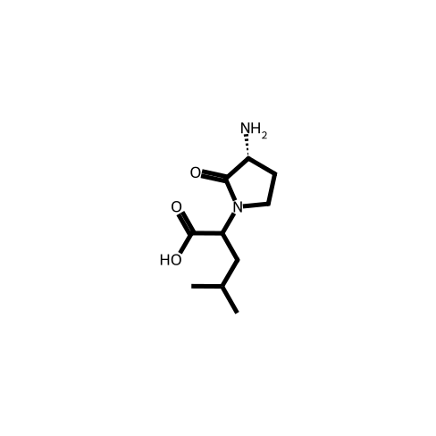 CC(C)CC(C(=O)O)N1CC[C@@H](N)C1=O